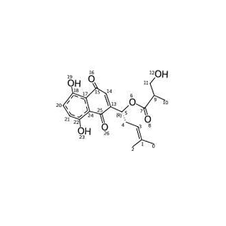 CC(C)=CC[C@@H](OC(=O)C(C)CO)C1=CC(=O)c2c(O)ccc(O)c2C1=O